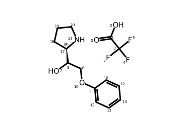 O=C(O)C(F)(F)F.OC(COc1ccccc1)[C@H]1CCCN1